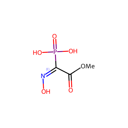 COC(=O)/C(=N\O)P(=O)(O)O